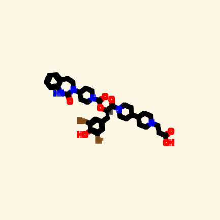 O=C(O)CCN1CCC(C2CCN(C(=O)[C@@H](Cc3cc(Br)c(O)c(Br)c3)OC(=O)N3CCC(N4CCc5ccccc5NC4=O)CC3)CC2)CC1